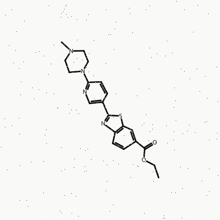 CCOC(=O)c1ccc2nc(-c3ccc(N4CCN(C)CC4)nc3)sc2c1